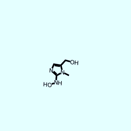 Cn1c(CO)cnc1NO